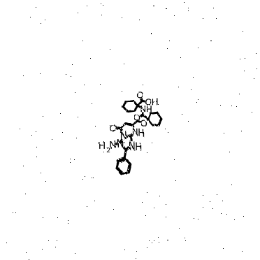 NN1C(c2ccccc2)NC2NC(COC3(C(=O)NC4(C(=O)O)CCCCC4)CCCCC3)=CC(=O)N21